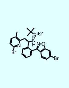 Cc1ccc(Br)nc1CC(N[S@@+]([O-])C(C)(C)C)c1ccccc1-c1noc2cc(Br)ccc12